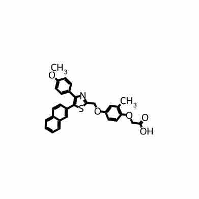 COc1ccc(-c2nc(COc3ccc(OCC(=O)O)c(C)c3)sc2-c2ccc3ccccc3c2)cc1